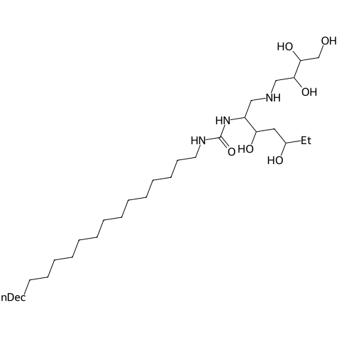 CCCCCCCCCCCCCCCCCCCCCCCCNC(=O)NC(CNCC(O)C(O)CO)C(O)CC(O)CC